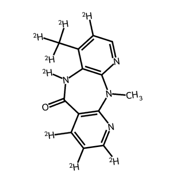 [2H]c1cnc2c(c1C([2H])([2H])[2H])N([2H])C(=O)c1c(nc([2H])c([2H])c1[2H])N2C